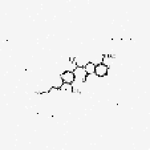 CC(=O)Nc1nccc2c1CN(C(C)c1cnc(OCCC(F)(F)F)c(C)c1)C2=O